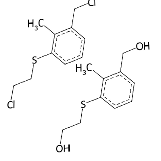 Cc1c(CCl)cccc1SCCCl.Cc1c(CO)cccc1SCCO